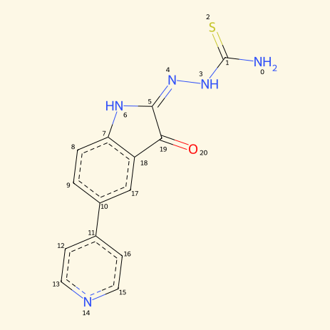 NC(=S)NN=C1Nc2ccc(-c3ccncc3)cc2C1=O